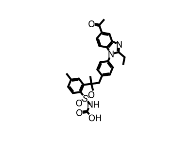 CCc1nc2cc(C(C)=O)ccc2n1-c1ccc(CC(C)(C)c2cc(C)ccc2S(=O)(=O)NC(=O)O)cc1